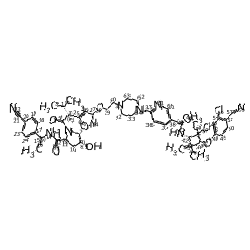 CC(C)[C@@H](C(=O)N1C[C@H](O)C[C@H]1C(=O)N[C@@H](C)c1ccc(C#N)cc1)c1cc(OCCN2CCN(c3ccc(C(=O)N[C@H]4C(C)(C)[C@H](Oc5ccc(C#N)c(Cl)c5)C4(C)C)cn3)CC2)no1